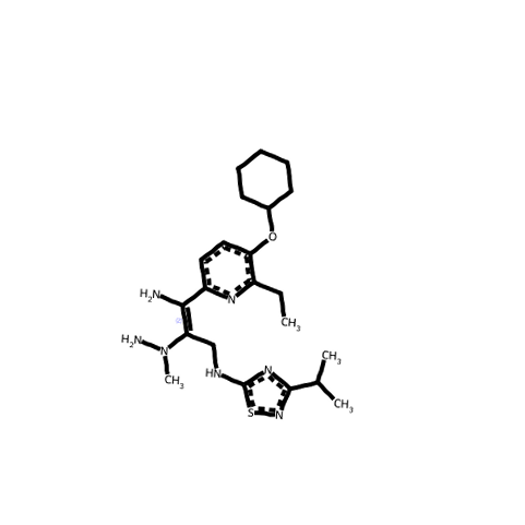 CCc1nc(/C(N)=C(\CNc2nc(C(C)C)ns2)N(C)N)ccc1OC1CCCCC1